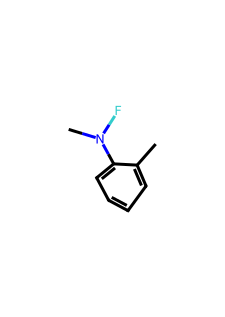 Cc1ccccc1N(C)F